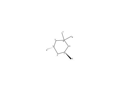 C[C@H]1C[C@H](C)CC(C)(C)C1